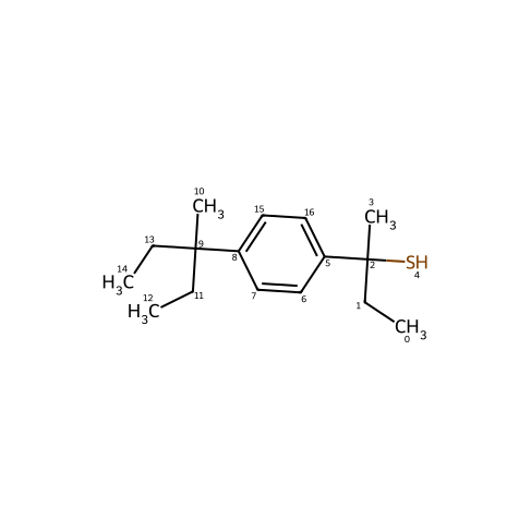 CCC(C)(S)c1ccc(C(C)(CC)CC)cc1